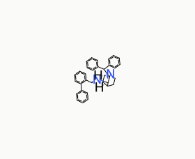 C(=N[C@@H]1C2CCN(CC2)[C@@H]1C(c1ccccc1)c1ccccc1)c1ccccc1-c1ccccc1